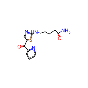 NC(=O)CCCCNc1ncc(C(=O)c2ccccn2)s1